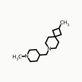 CC1CC2(CCN(CC3CCN(C)CC3)CC2)C1